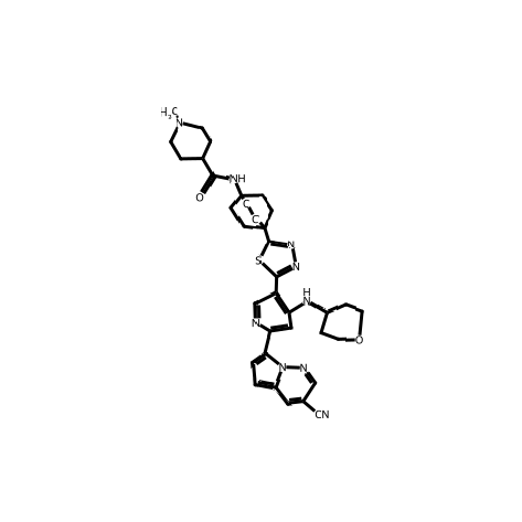 CN1CCC(C(=O)NC23CCC(c4nnc(-c5cnc(-c6ccc7cc(C#N)cnn67)cc5NC5CCOCC5)s4)(CC2)CC3)CC1